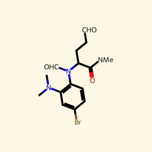 CNC(=O)C(CCC=O)N(C=O)c1ccc(Br)cc1N(C)C